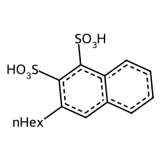 CCCCCCc1cc2ccccc2c(S(=O)(=O)O)c1S(=O)(=O)O